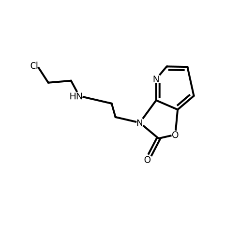 O=c1oc2cccnc2n1CCNCCCl